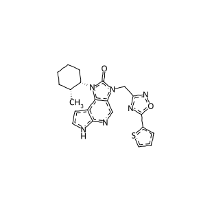 C[C@@H]1CCCC[C@@H]1n1c(=O)n(Cc2noc(-c3cccs3)n2)c2cnc3[nH]ccc3c21